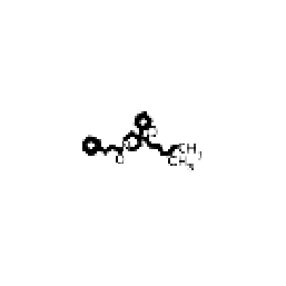 CCC(C)C/C=C/C(=O)C1(c2ccccc2)CCN(C(=O)CCc2ccccc2)CC1